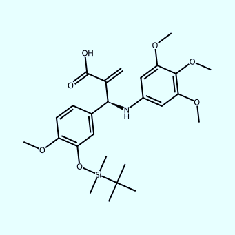 C=C(C(=O)O)[C@@H](Nc1cc(OC)c(OC)c(OC)c1)c1ccc(OC)c(O[Si](C)(C)C(C)(C)C)c1